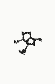 C#Cc1nn(CC)c2ncnc(N)c12